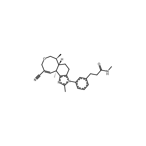 CNC(=O)CCc1cccc(-n2c(C)nc3c2CC[C@H]2[C@H](C)COC/C(C#N)=C\[C@]32C)c1